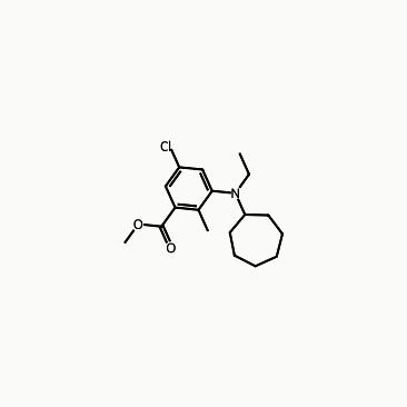 CCN(c1cc(Cl)cc(C(=O)OC)c1C)C1CCCCCC1